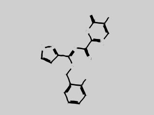 N=C(/N=C(\NCc1ccccc1F)c1ccon1)c1ncc(F)c(=O)[nH]1